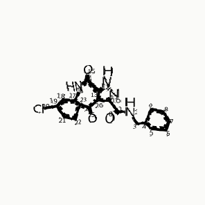 O=C(NCc1ccccc1)c1n[nH]c2c(=O)[nH]c3cc(Cl)ccc3c(=O)c12